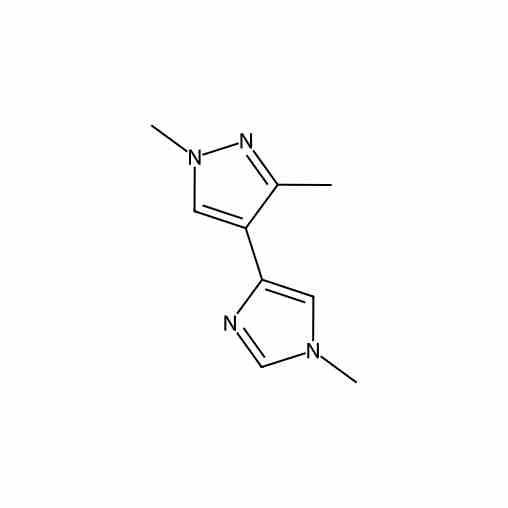 Cc1nn(C)cc1-c1cn(C)cn1